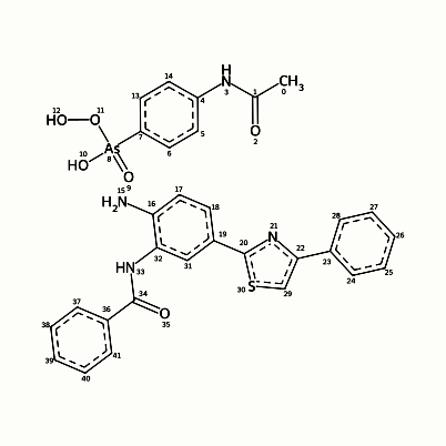 CC(=O)Nc1ccc([As](=O)(O)OO)cc1.Nc1ccc(-c2nc(-c3ccccc3)cs2)cc1NC(=O)c1ccccc1